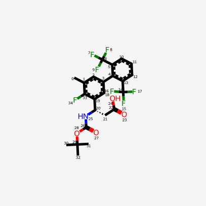 Cc1cc(-c2c(C(F)(F)F)cccc2C(F)(F)F)cc([C@H](CC(=O)O)NC(=O)OC(C)(C)C)c1F